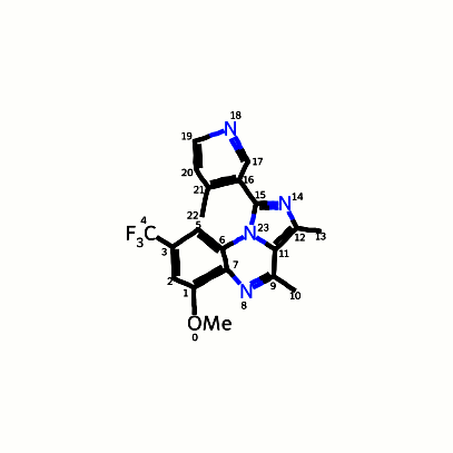 COc1cc(C(F)(F)F)cc2c1nc(C)c1c(C)nc(-c3cnccc3C)n12